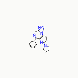 c1ccc(C2=NCc3nncn3-c3ccc(N4CCCC4)nc32)cc1